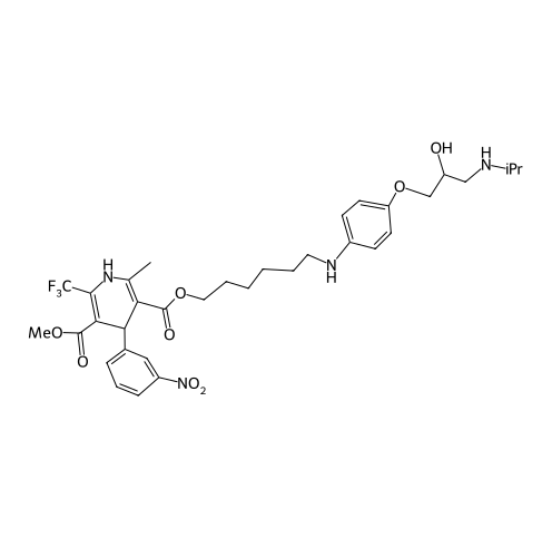 COC(=O)C1=C(C(F)(F)F)NC(C)=C(C(=O)OCCCCCCNc2ccc(OCC(O)CNC(C)C)cc2)C1c1cccc([N+](=O)[O-])c1